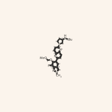 COCOc1c(-c2ccc3nc(N4CCC(NC(C)(C)C)C4)ccc3n2)cc2cn(C)nc2c1F